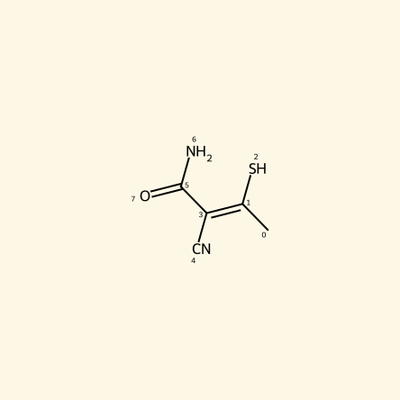 C/C(S)=C(\C#N)C(N)=O